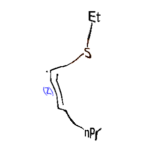 CCC/C=[C]\SCC